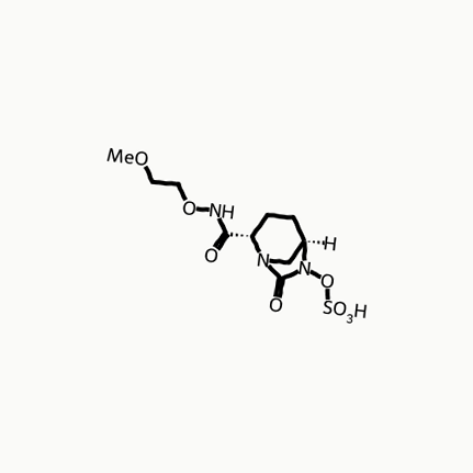 COCCONC(=O)[C@@H]1CC[C@@H]2CN1C(=O)N2OS(=O)(=O)O